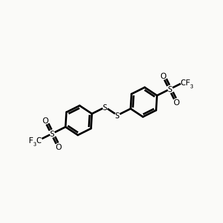 O=S(=O)(c1ccc(SSc2ccc(S(=O)(=O)C(F)(F)F)cc2)cc1)C(F)(F)F